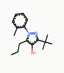 CCCc1c(O)c(C(C)(C)C)nn1-c1ccccc1C